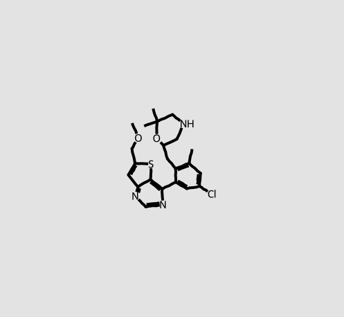 COCc1cc2ncnc(-c3cc(Cl)cc(C)c3CC3CNCC(C)(C)O3)c2s1